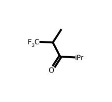 CC(C)C(=O)C(C)C(F)(F)F